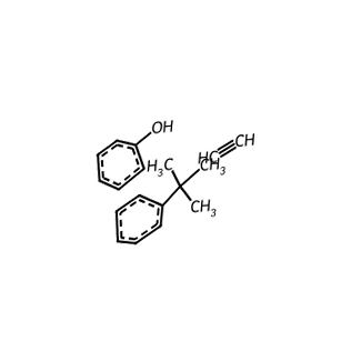 C#C.CC(C)(C)c1ccccc1.Oc1ccccc1